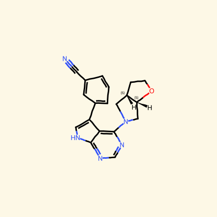 N#Cc1cccc(-c2c[nH]c3ncnc(N4C[C@@H]5CCO[C@@H]5C4)c23)c1